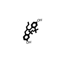 CCC[C](Cc1ccc(O)cc1C(C)(C)C)Cc1ccc(O)cc1C(C)(C)C